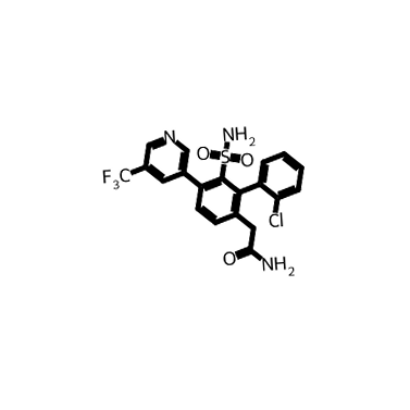 NC(=O)Cc1ccc(-c2cncc(C(F)(F)F)c2)c(S(N)(=O)=O)c1-c1ccccc1Cl